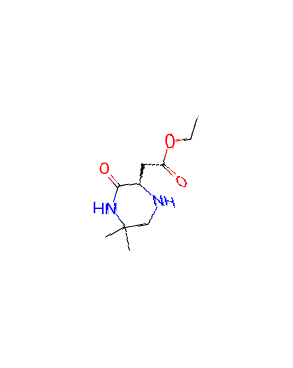 CCOC(=O)C[C@H]1NCC(C)(C)NC1=O